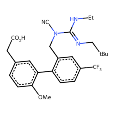 CCNC(=NCC(C)(C)C)N(C#N)Cc1cc(C(F)(F)F)ccc1-c1cc(CC(=O)O)ccc1OC